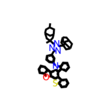 CC1CC2CC(C1)CC(C)(c1nc(-c3cccc(-n4c5ccccc5c5c6c7ccccc7sc6c6oc7ccccc7c6c54)c3)nc(C34CC5CC(CC(C5)C3)C4)n1)C2